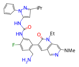 CCn1c(=O)c(-c2cc(NC(=O)Nc3cc(C(C)C)nn3-c3ccccc3)c(F)cc2CN)cc2cnc(NC)cc21